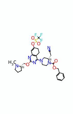 CN1CCC[C@H]1COc1nc2c(c(N3CCN(C(=O)OCc4ccccc4)[C@@H](CC#N)C3)n1)CCC(OS(=O)(=O)C(F)(F)F)=C2